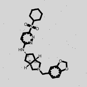 O=S(=O)(c1ccc(N[C@@H]2C[C@@H]3CN(Cc4ccc5c(c4)OCO5)C[C@@H]3C2)nn1)C1CCCCC1